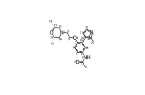 CC(=O)Nc1ccc(OCCN2C[C@@H](C)O[C@@H](C)C2)c(-c2ccnn2C)c1